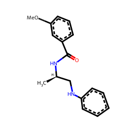 COc1cccc(C(=O)N[C@H](C)CNc2ccccc2)c1